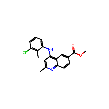 COC(=O)c1ccc2nc(C)cc(Nc3cccc(Cl)c3C)c2c1